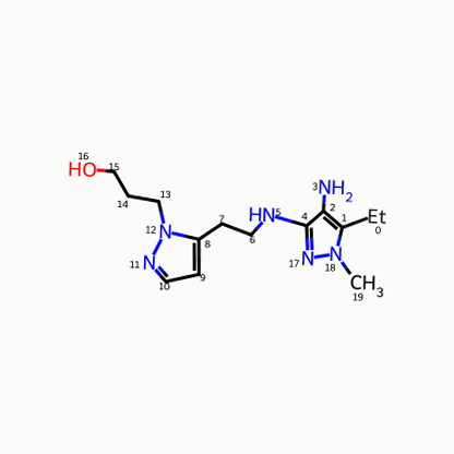 CCc1c(N)c(NCCc2ccnn2CCCO)nn1C